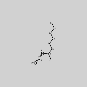 CCCCCCC(C)N=C=O